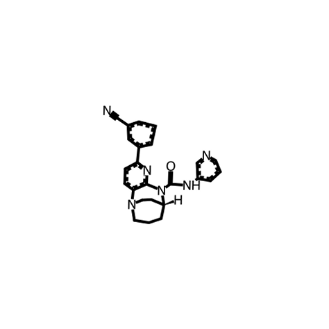 N#Cc1cccc(-c2ccc3c(n2)N(C(=O)Nc2cccnc2)[C@@H]2CCCN3CC2)c1